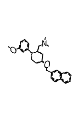 COc1cccc(C2CCC(OCc3ccc4ccccc4c3)CC2CN(C)C)c1